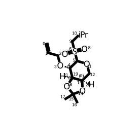 C=CCO[C@@H]1C(S(=O)(=O)CC(C)C)OC[C@H]2OC(C)(C)O[C@@H]12